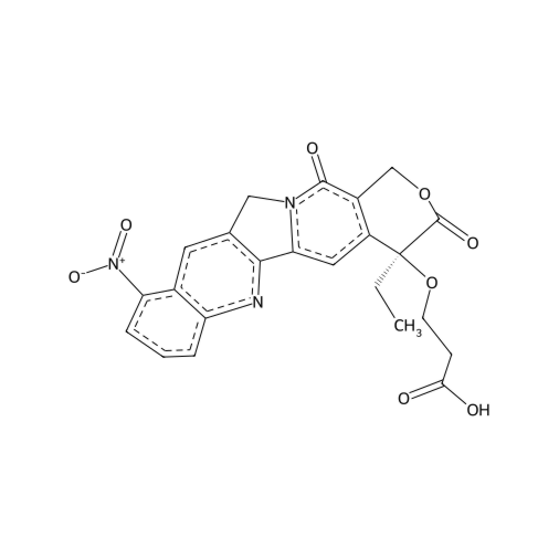 CC[C@@]1(OCCC(=O)O)C(=O)OCc2c1cc1n(c2=O)Cc2cc3c([N+](=O)[O-])cccc3nc2-1